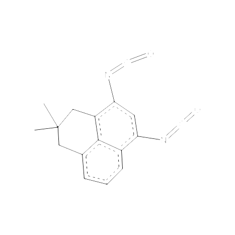 CC1(C)Cc2cccc3c(N=C=O)cc(N=C=O)c(c23)C1